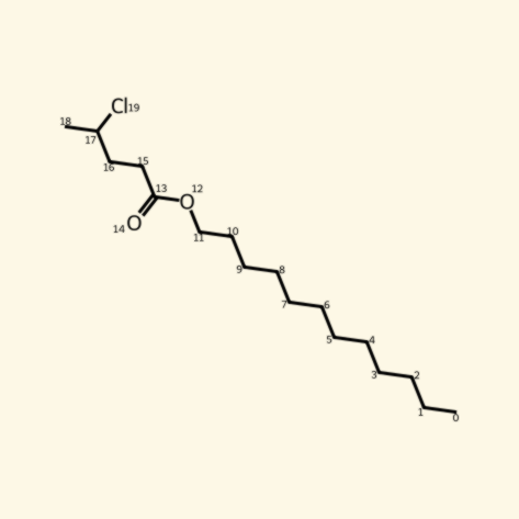 CCCCCCCCCCCCOC(=O)CCC(C)Cl